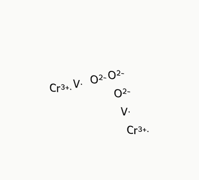 [Cr+3].[Cr+3].[O-2].[O-2].[O-2].[V].[V]